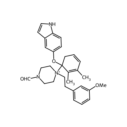 COc1cccc(CC[N+]2(C3(Oc4ccc5[nH]ccc5c4)CC=CC(C)=C3C)CCN(C=O)CC2)c1